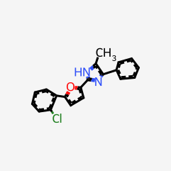 Cc1[nH]c(-c2ccc(-c3ccccc3Cl)o2)nc1-c1ccccc1